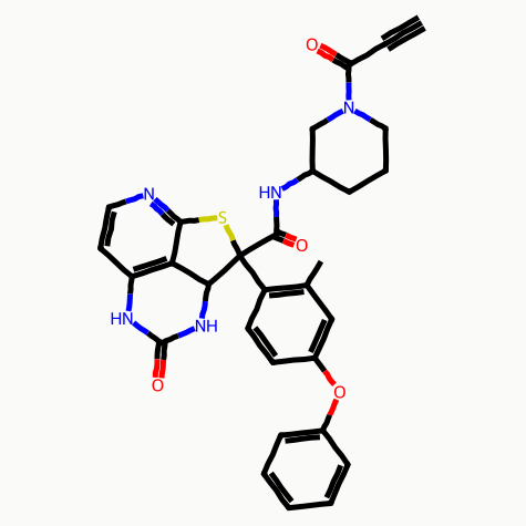 C#CC(=O)N1CCCC(NC(=O)C2(c3ccc(Oc4ccccc4)cc3C)Sc3nccc4c3C2NC(=O)N4)C1